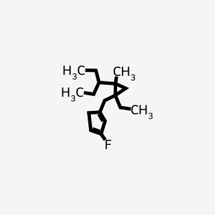 CCC(CC)C1(C)CC1(CC)CC1=CC(F)=CC1